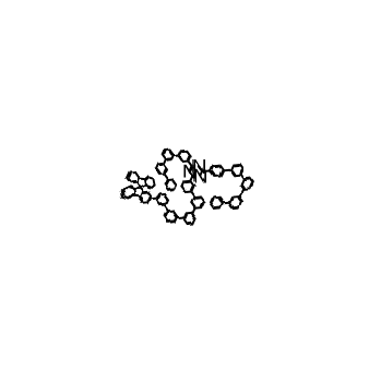 c1ccc(-c2cccc(-c3cccc(-c4cccc(-c5ccc(-c6nc(-c7cccc(-c8cccc(-c9cccc(-c%10ccccc%10)c9)c8)c7)nc(-c7cccc(-c8cccc(-c9cccc(-c%10cccc(-c%11cccc(-c%12ccc%13c(c%12)C%12(c%14ccccc%14-c%14ccccc%14%12)c%12ccccc%12-%13)c%11)c%10)c9)c8)c7)n6)cc5)c4)c3)c2)cc1